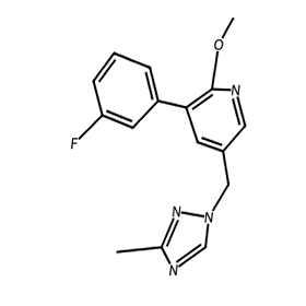 COc1ncc(Cn2cnc(C)n2)cc1-c1cccc(F)c1